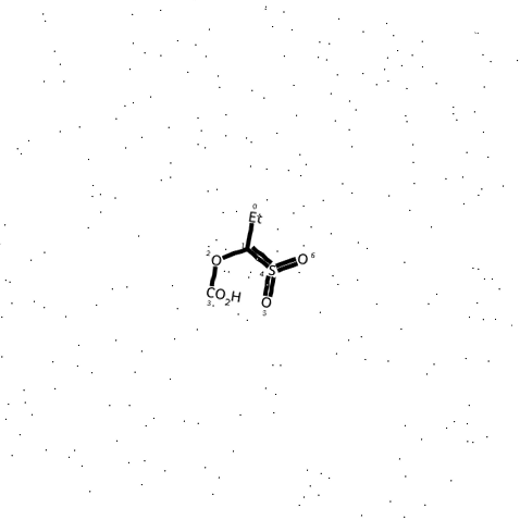 CCC(OC(=O)O)=S(=O)=O